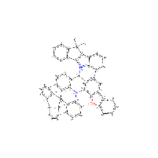 CC1(C)c2ccccc2-c2c1c1cccc3c1n2B1c2cccc4c2N(c2ccccc2[Si]42c4ccccc4-c4ccccc42)c2c1c-3cc1c2oc2ccccc21